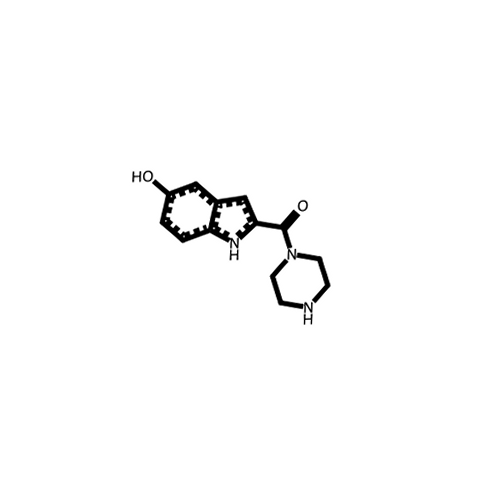 O=C(c1cc2cc(O)ccc2[nH]1)N1CCNCC1